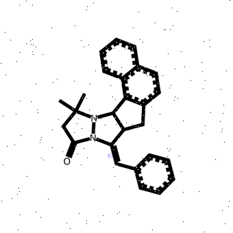 CC1(C)CC(=O)N2/C(=C/c3ccccc3)C3Cc4ccc5ccccc5c4C3N21